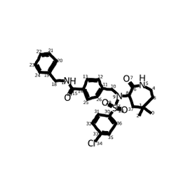 CC1(C)CCNC(=O)C(N(Cc2ccc(C(=O)NCc3ccccc3)cc2)S(=O)(=O)c2ccc(Cl)cc2)C1